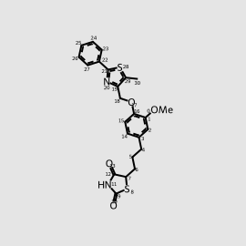 COc1cc(CCCC2SC(=O)NC2=O)ccc1OCc1nc(-c2ccccc2)sc1C